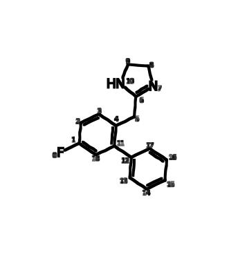 Fc1ccc(CC2=NCCN2)c(-c2ccccc2)c1